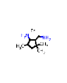 CC1CC(C)(C)C(CN)C1N.[Pt]